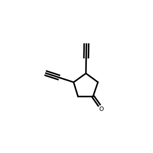 C#CC1CC(=O)CC1C#C